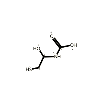 O=C(O)NC(O)CS